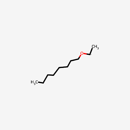 C[CH]OCCCCCCCC